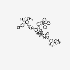 CC1(C)CCC(CN2CCN(c3ccc(C(=O)NS(=O)(=O)c4cnc(OC[C@H]5CC[C@H](C(C)(C)O)CC5)c(Cl)c4)c(Oc4cccc5nn(C(c6ccccc6)(c6ccccc6)c6ccccc6)cc45)c3)CC2)=C(c2ccc(Cl)cc2)C1